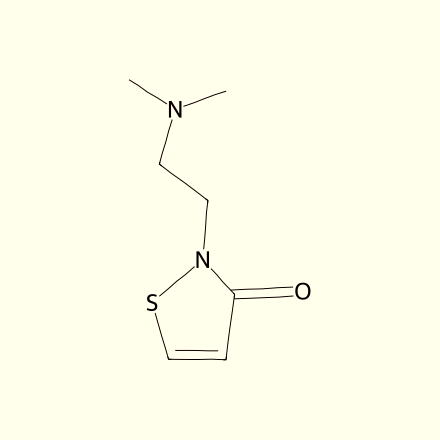 CN(C)CCn1sccc1=O